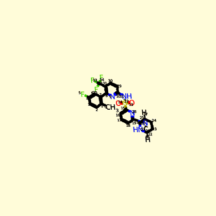 Cc1ccc(F)cc1-c1nc(NS(=O)(=O)c2cccc(N3C[C@@H]4CC[C@H]3CN4)n2)ccc1C(F)(F)F